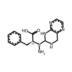 NN(C1NCc2nccnc2N1)[C@@H](Cc1ccccc1)C(=O)O